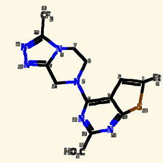 CCc1cc2c(N3CCn4c(nnc4C(F)(F)F)C3)nc(C(=O)O)nc2s1